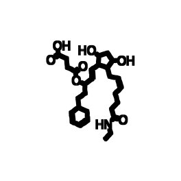 CCNC(=O)CCC/C=C\CC1C(O)CC(O)C1/C=C/C(CCC1C=CC=CC1)OC(=O)CCC(=O)O